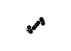 O=S1(=O)c2ccccc2N(c2ccc3c(c2)Cc2cc4ccc(N5c6ccccc6Oc6ccccc65)cc4cc2C3)C2C=CC=CC21